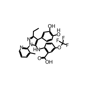 CCc1nn(-c2ncccc2C)c(Nc2ccc(OC(F)(F)F)cc2C(=O)O)c1-c1ccc(O)c(O)c1